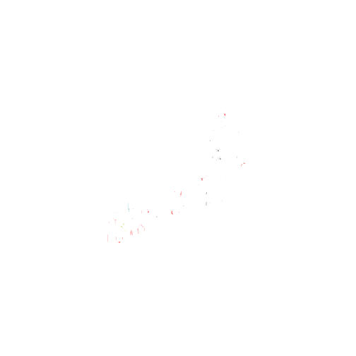 C[C@H](CCC(=O)OCCOC(=O)C(F)(F)S(=O)(=O)O)C1CCC2C3C(=O)CC4CC(=O)CC[C@]4(C)C3CC(=O)[C@@]21C